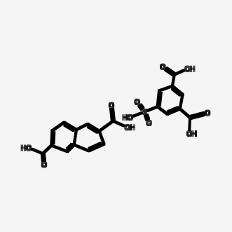 O=C(O)c1cc(C(=O)O)cc(S(=O)(=O)O)c1.O=C(O)c1ccc2cc(C(=O)O)ccc2c1